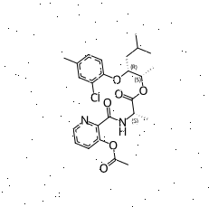 CC(=O)Oc1cccnc1C(=O)N[C@@H](C)C(=O)O[C@@H](C)[C@@H](CC(C)C)Oc1ccc(C)cc1Cl